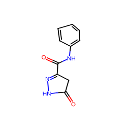 O=C1CC(C(=O)Nc2ccccc2)=NN1